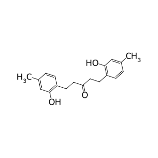 Cc1ccc(CCC(=O)CCc2ccc(C)cc2O)c(O)c1